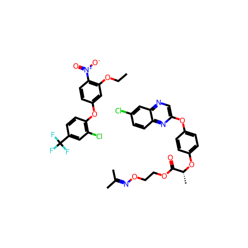 CC(C)=NOCCOC(=O)[C@@H](C)Oc1ccc(Oc2cnc3cc(Cl)ccc3n2)cc1.CCOc1cc(Oc2ccc(C(F)(F)F)cc2Cl)ccc1[N+](=O)[O-]